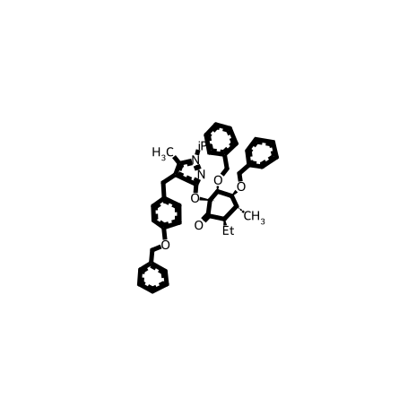 CC[C@H]1C(=O)[C@@H](Oc2nn(C(C)C)c(C)c2Cc2ccc(OCc3ccccc3)cc2)[C@H](OCc2ccccc2)[C@@H](OCc2ccccc2)[C@@H]1C